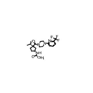 CC(C)[C@]1(C(=O)N2CCN(c3cccc(C(F)(F)F)n3)CC2)CC[C@@H](NC(=O)O)C1